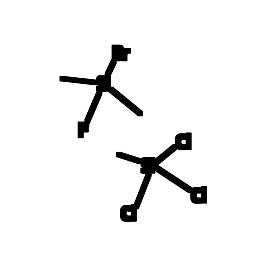 C[Si](C)(F)Br.C[Si](Cl)(Cl)Cl